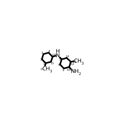 CC1CCCC(NC2CCC(N)C(C)C2)C1